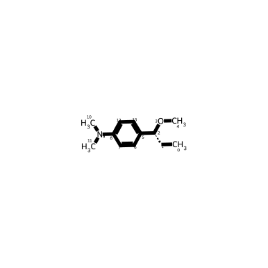 CC[C@@H](OC)c1ccc(N(C)C)cc1